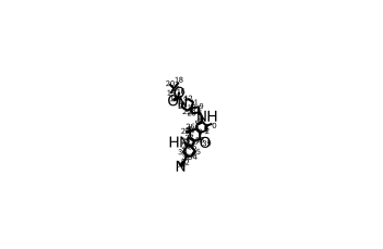 Cc1cc2c(cc1NC1CC3(CCN(C(=O)OC(C)(C)C)CC3)C1)C(C)(C)c1[nH]c3cc(C#N)ccc3c1C2=O